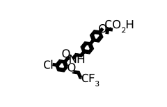 CC(C)(Oc1ccc(-c2ccc(CCNC(=O)c3cc(Cl)ccc3OCCCC(F)(F)F)cc2)cc1)C(=O)O